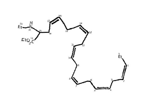 CC/C=C\C/C=C\C/C=C\C/C=C\C/C=C\C/C=C\CC(NCC)C(=O)OCC